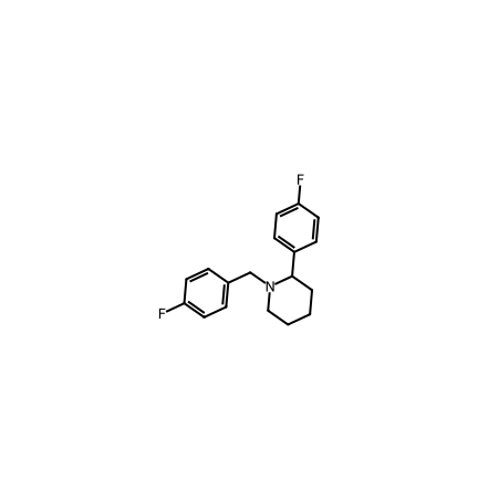 Fc1ccc(CN2CCCCC2c2ccc(F)cc2)cc1